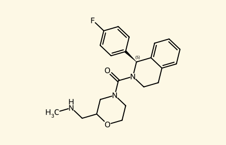 CNCC1CN(C(=O)N2CCc3ccccc3[C@@H]2c2ccc(F)cc2)CCO1